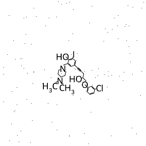 CCN(CC)C1CCN(Cc2cc(C#CCC(O)COc3cccc(Cl)c3)cc(I)c2O)CC1